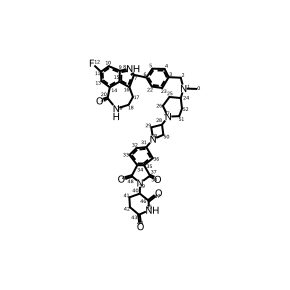 CN(Cc1ccc(-c2[nH]c3cc(F)cc4c3c2CCNC4=O)cc1)C1CCN(C2CN(c3ccc4c(c3)C(=O)N(C3CCC(=O)NC3=O)C4=O)C2)CC1